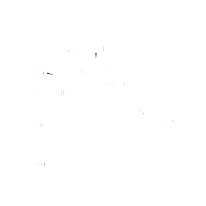 CC(C)[C@H](NC(=O)CNC(=O)OC(C)(C)C)C(=O)N[C@@H](C)C(=O)OCCN1CCOCC1